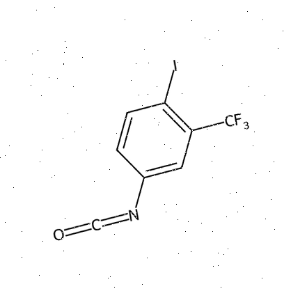 O=C=Nc1ccc(I)c(C(F)(F)F)c1